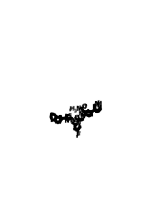 NC(=O)c1nn(CC(=O)N2C[C@H](F)C[C@H]2CNc2nc(-c3ccc4c(c3)CCCC4)cs2)c2ccc(-c3ccnnc3)cc12